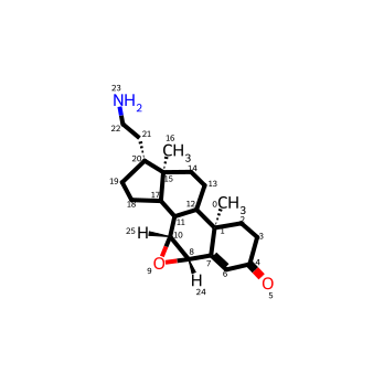 C[C@]12CCC(=O)C=C1[C@@H]1O[C@@H]1C1C2CC[C@@]2(C)C1CC[C@@H]2CCN